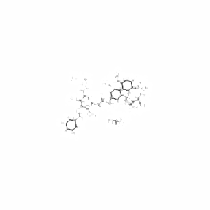 CCC(C)[C@@]1(c2cccc(NC(=O)N[C@@H]3O[C@H](COS(=O)(=O)O)[C@@H](O)[C@H](OCc4ccccc4)[C@H]3O)c2)c2cc(N(C)C)ccc2S(=O)(=O)C[C@@H](CC)[C@H]1O.CCO.[KH]